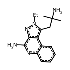 CCn1nc2c(N)nc3ccccc3c2c1CC(C)(C)N